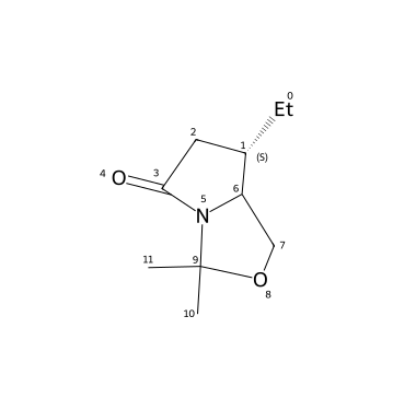 CC[C@H]1CC(=O)N2C1COC2(C)C